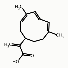 C=C(C(=O)O)[C@H]1C\C=C(C)/C=C/C=C(/C)CC1